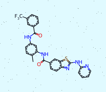 Cc1ccc(NC(=O)c2cccc(C(F)(F)F)c2)cc1NC(=O)c1ccc2nc(Nc3ccccn3)sc2c1